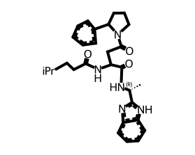 CC(C)CCC(=O)NC(CC(=O)N1CCCC1c1ccccc1)C(=O)N[C@H](C)c1nc2ccccc2[nH]1